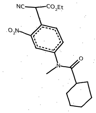 CCOC(=O)C(C#N)c1ccc(N(C)C(=O)C2CCCCC2)cc1[N+](=O)[O-]